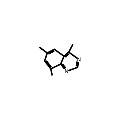 Cc1cc(C)c2ncnc(C)c2c1